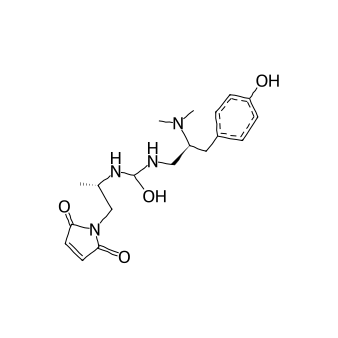 C[C@@H](CN1C(=O)C=CC1=O)NC(O)NC[C@H](Cc1ccc(O)cc1)N(C)C